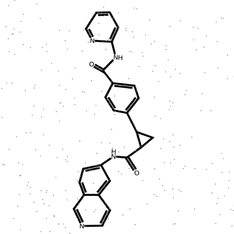 O=C(Nc1ccccn1)c1ccc(C2CC2C(=O)Nc2ccc3cnccc3c2)cc1